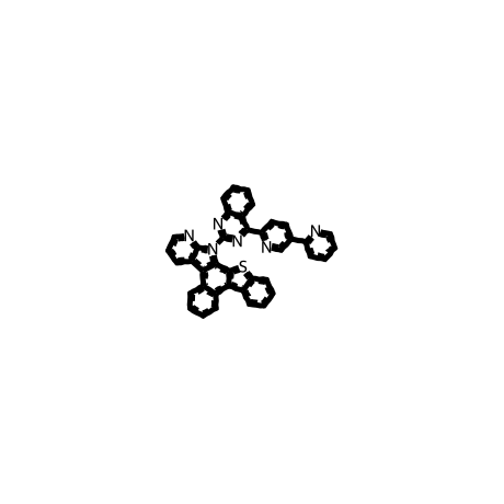 c1ccc(-c2ccc(-c3nc(-n4c5ncccc5c5c6ccccc6c6c7ccccc7sc6c54)nc4ccccc34)nc2)nc1